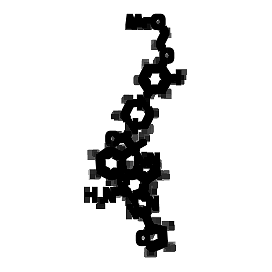 COCCOc1ccc(N2CCN(C(=O)[C@@](C)(c3ccccc3)n3ncc4c3nc(N)n3nc(-c5ccco5)nc43)CC2)cc1F